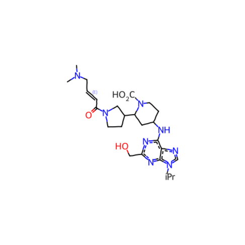 CC(C)n1cnc2c(NC3CCN(C(=O)O)C(C4CCN(C(=O)/C=C/CN(C)C)C4)C3)nc(CO)nc21